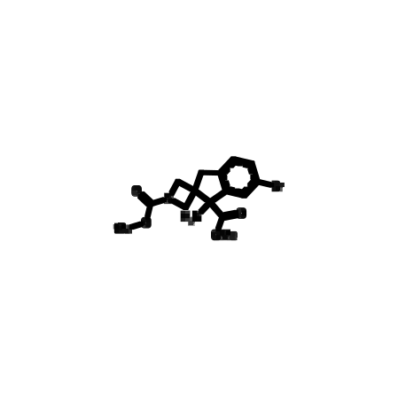 COC(=O)C1(N)c2cc(Br)ccc2CC12CN(C(=O)OC(C)(C)C)C2